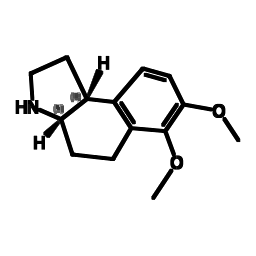 COc1ccc2c(c1OC)CC[C@@H]1NCC[C@H]21